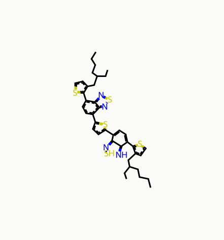 CCCCC(CC)Cc1ccsc1C1=CC=C(c2ccc(-c3ccc(-c4sccc4CC(CC)CCCC)c4nsnc34)s2)/C(=N/S)C1=N